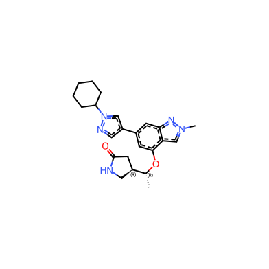 C[C@@H](Oc1cc(-c2cnn(C3CCCCC3)c2)cc2nn(C)cc12)[C@H]1CNC(=O)C1